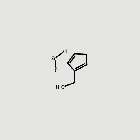 CCC1=C[CH]C=C1.[Cl][Zr][Cl]